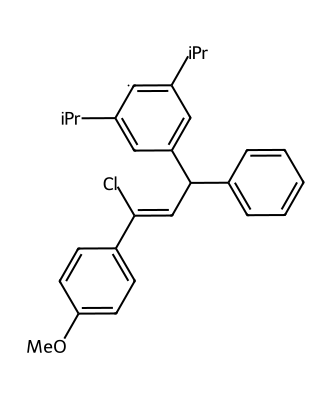 COc1ccc(C(Cl)=CC(c2ccccc2)c2cc(C(C)C)[c]c(C(C)C)c2)cc1